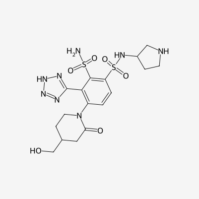 NS(=O)(=O)c1c(S(=O)(=O)NC2CCNC2)ccc(N2CCC(CO)CC2=O)c1-c1nn[nH]n1